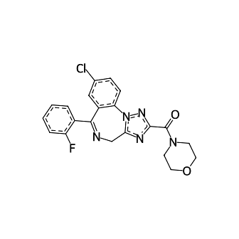 O=C(c1nc2n(n1)-c1ccc(Cl)cc1C(c1ccccc1F)=NC2)N1CCOCC1